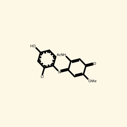 COC1=CC(=Nc2ccc(O)cc2Cl)C(NC(C)=O)=CC1=O